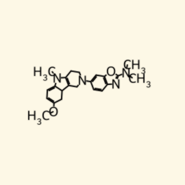 COC1=CC=C2C(C1)C1=C(CCN(c3ccc4nc(N(C)C)oc4c3)C1)N2C